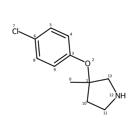 CC1(Oc2ccc(Cl)cc2)CCNC1